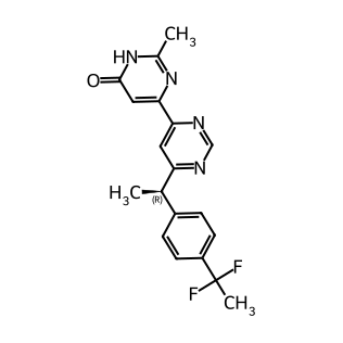 Cc1nc(-c2cc([C@H](C)c3ccc(C(C)(F)F)cc3)ncn2)cc(=O)[nH]1